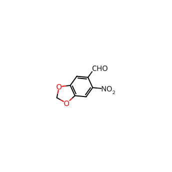 O=Cc1cc2c(cc1[N+](=O)[O-])OCO2